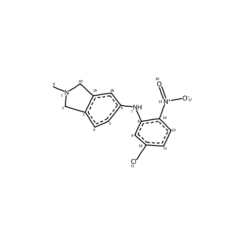 CN1Cc2ccc(Nc3cc(Cl)ccc3[N+](=O)[O-])cc2C1